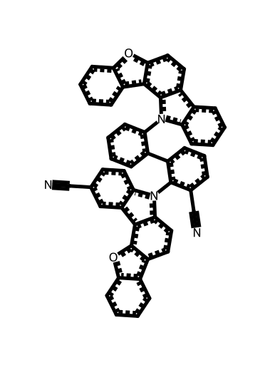 N#Cc1ccc2c(c1)c1c3oc4ccccc4c3ccc1n2-c1c(C#N)cccc1-c1ccccc1-n1c2ccccc2c2ccc3oc4ccccc4c3c21